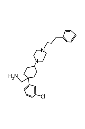 NCC1(c2cccc(Cl)c2)CCC(N2CCN(CCCc3ccccc3)CC2)CC1